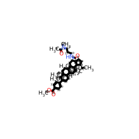 C=C(C)[C@@H]1CC[C@]2(C(=O)NCCCN(C)C(C)=O)CC[C@]3(C)[C@H](CC[C@@H]4[C@@]5(C)CC=C(c6ccc(C(=O)OC)cc6)C(C)(C)[C@@H]5CC[C@]43C)[C@@H]12